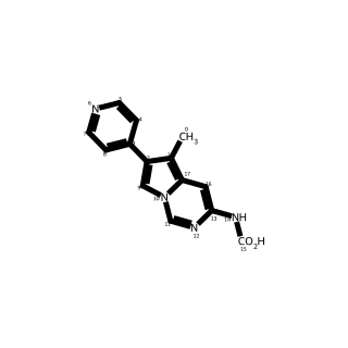 Cc1c(-c2ccncc2)cn2cnc(NC(=O)O)cc12